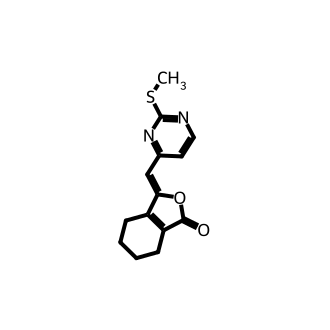 CSc1nccc(C=C2OC(=O)C3=C2CCCC3)n1